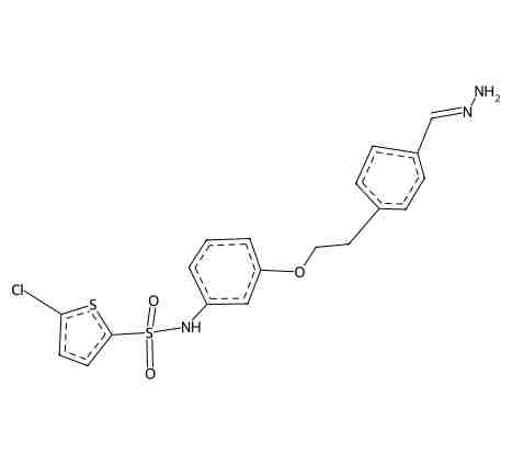 NN=Cc1ccc(CCOc2cccc(NS(=O)(=O)c3ccc(Cl)s3)c2)cc1